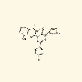 C[C@H](NC(=O)c1cc(-c2ccc(Cl)cc2)nn(-c2cnn(C)c2)c1=O)c1ccnc(C#N)c1